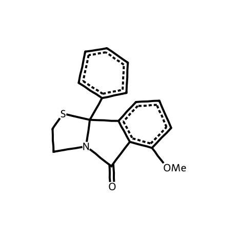 COc1cccc2c1C(=O)N1CCSC21c1ccccc1